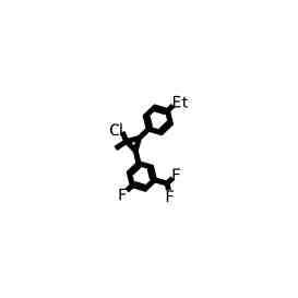 CCc1ccc(C2C(c3cc(F)cc(C(F)F)c3)C2(C)Cl)cc1